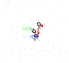 Cc1ccc(-c2c(CN)c(CC(C)C)nc(C)c2C(=O)OCC=C2OC(=O)c3ccccc32)cc1.Cl.Cl